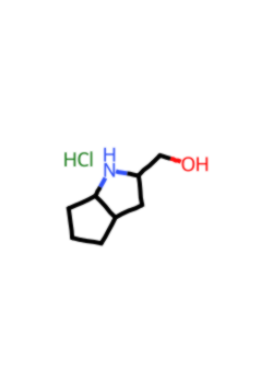 Cl.OCC1CC2CCCC2N1